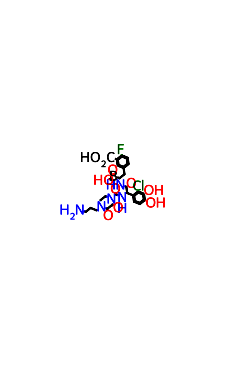 NCCCN1CCN(C(=O)N[C@H](C(=O)N[C@H]2Cc3ccc(F)c(C(=O)O)c3OB2O)c2ccc(O)c(O)c2Cl)C(=O)C1=O